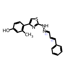 Cc1cc(O)ccc1-c1csc(N/N=C/C=C/c2ccccc2)n1